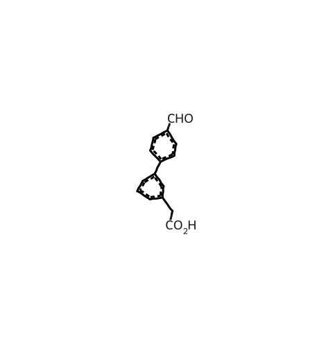 O=Cc1ccc(-c2cccc(CC(=O)O)c2)cc1